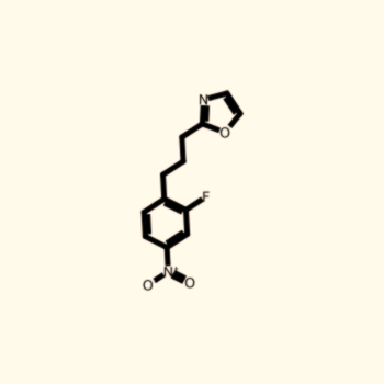 O=[N+]([O-])c1ccc(CCCc2ncco2)c(F)c1